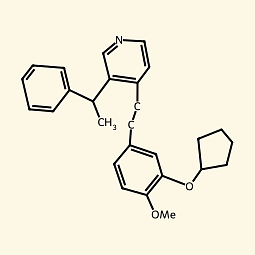 COc1ccc(CCc2ccncc2C(C)c2ccccc2)cc1OC1CCCC1